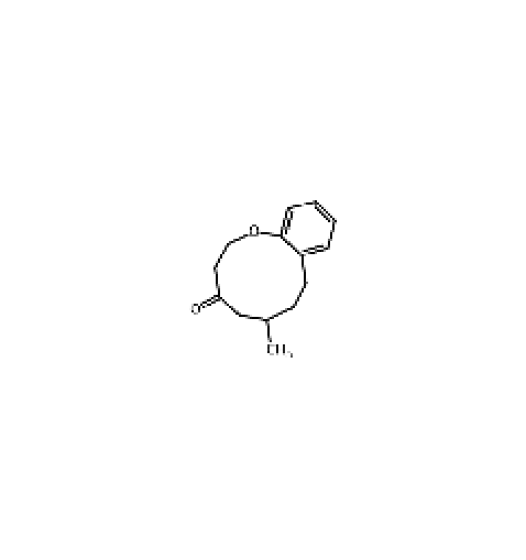 CC1CCc2ccccc2OCCC(=O)C1